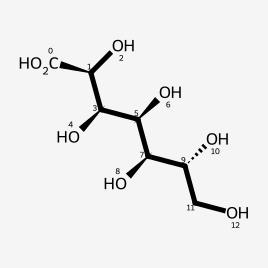 O=C(O)[C@@H](O)[C@H](O)[C@@H](O)[C@H](O)[C@H](O)CO